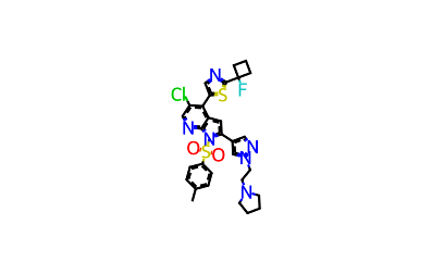 Cc1ccc(S(=O)(=O)n2c(-c3cnn(CCN4CCCC4)c3)cc3c(-c4cnc(C5(F)CCC5)s4)c(Cl)cnc32)cc1